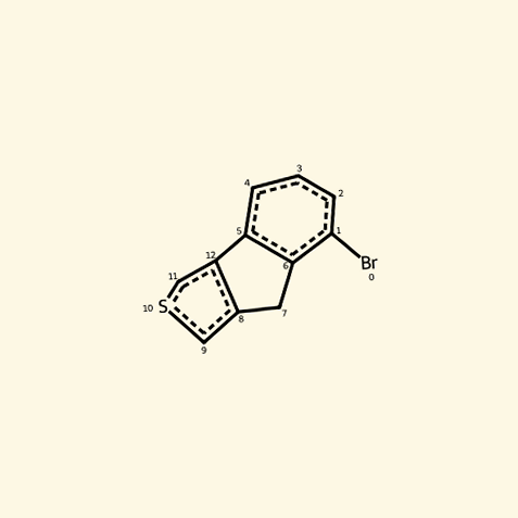 Brc1cccc2c1Cc1cscc1-2